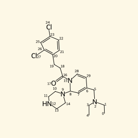 CCN(CC)CC1=CC(N2CCNCC2)N(C(=O)CCc2ccc(Cl)cc2Cl)C=C1